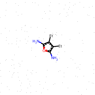 CCc1c(N)oc(N)c1CC